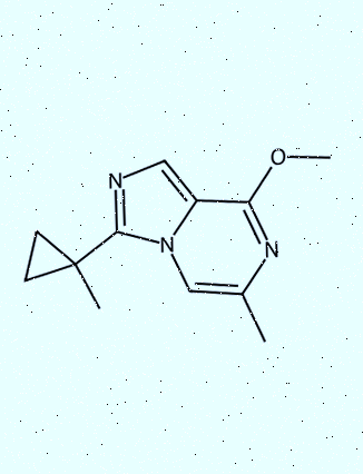 COc1nc(C)cn2c(C3(C)CC3)ncc12